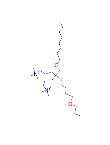 CCCCCCCCOCC(CCCCCOCCCC)(CCC[N+](C)(C)C)CCC[N+](C)(C)C